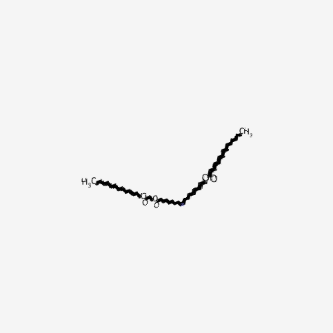 CCCCCCCCCCCCCCCC(=O)OCCCCCCCC/C=C\CCCCCCCC(=O)OCCC(=O)OCCCCCCCCCCCCCC